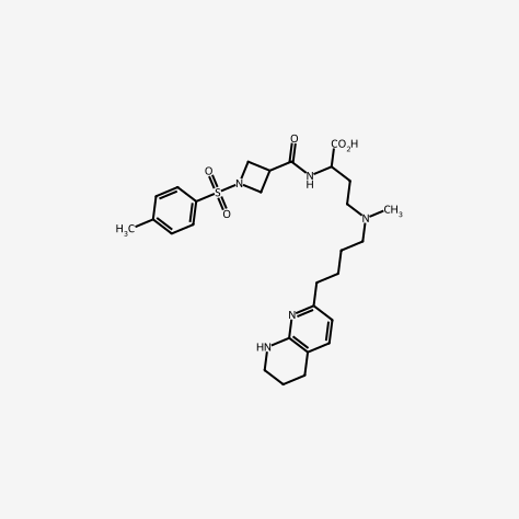 Cc1ccc(S(=O)(=O)N2CC(C(=O)NC(CCN(C)CCCCc3ccc4c(n3)NCCC4)C(=O)O)C2)cc1